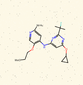 COCCOc1cnc(NC(C)=O)cc1Nc1cc(OC2CC2)nc(C(C)(C)F)n1